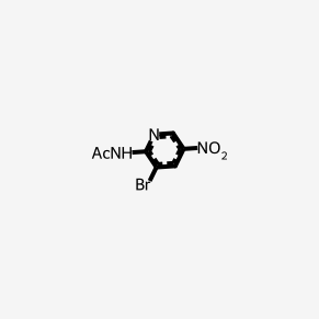 CC(=O)Nc1ncc([N+](=O)[O-])cc1Br